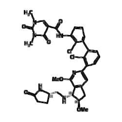 COc1nc(-c2cccc(-c3cccc(NC(=O)c4cn(C)c(=O)n(C)c4=O)c3Cl)c2Cl)cc2c1[C@@H](NC[C@@H]1CCC(=O)N1)[C@H](OC)C2